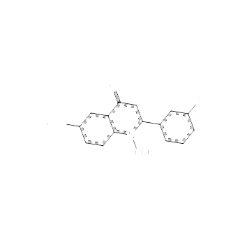 CCCCn1c(-c2cccc(F)c2)cc(=O)c2cc(C(=O)OCC)ccc21